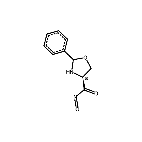 O=NC(=O)[C@@H]1COC(c2ccccc2)N1